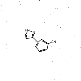 N#Cc1cccc(-c2cc[nH]n2)c1